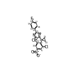 O=[N+]([O-])c1cc(Cl)c(C2(c3nc(-c4ccc(F)cc4)no3)CC2)c(Cl)c1